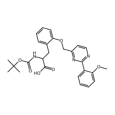 COc1ccccc1-c1nccc(COc2ccccc2CC(NC(=O)OC(C)(C)C)C(=O)O)n1